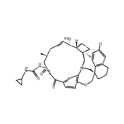 CO[C@H]1/C=C/C[C@H](C)CS(=O)(NC(=O)NC2CC2)=NC(=O)c2ccc3c(n2)N(C[C@@H]2CC[C@H]21)C[C@@]1(CCCc2cc(Cl)ccc21)CO3